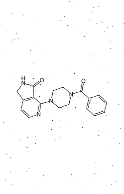 O=C1NCc2ccnc(N3CCN(C(=O)c4ccccc4)CC3)c21